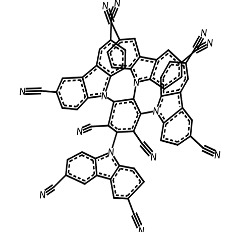 N#Cc1ccc2c(c1)c1cc(C#N)ccc1n2-c1c(C#N)c(-n2c3ccc(C#N)cc3c3cc(C#N)ccc32)c(-n2c3ccc(C#N)cc3c3cc(C#N)ccc32)c(-n2c3ccc(C#N)cc3c3cc(C#N)ccc32)c1C#N